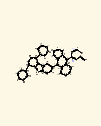 C=C/C=C(\C=C/C)c1c2ccccc2c(-c2ccc3oc4c(-c5ccccc5)ccc(-c5ccccc5)c4c3c2)c2ccccc12